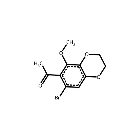 COc1c2c(cc(Br)c1C(C)=O)OCCO2